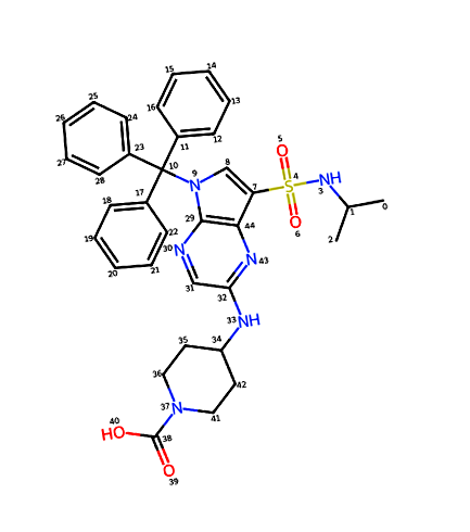 CC(C)NS(=O)(=O)c1cn(C(c2ccccc2)(c2ccccc2)c2ccccc2)c2ncc(NC3CCN(C(=O)O)CC3)nc12